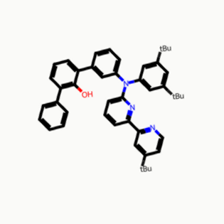 CC(C)(C)c1cc(N(c2cccc(-c3cccc(-c4ccccc4)c3O)c2)c2cccc(-c3cc(C(C)(C)C)ccn3)n2)cc(C(C)(C)C)c1